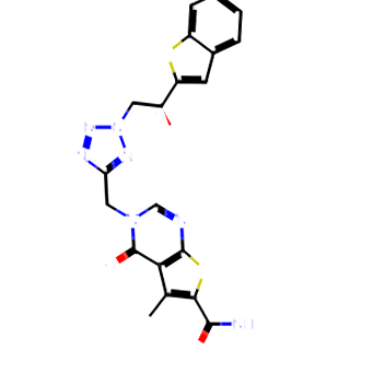 Cc1c(C(N)=O)sc2ncn(Cc3nnn(C[C@H](O)c4cc5ccccc5s4)n3)c(=O)c12